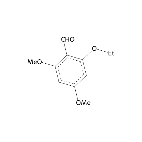 CCOc1cc(OC)cc(OC)c1C=O